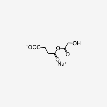 O=C([O-])CCC(=O)OC(=O)CO.[Na+]